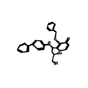 O=c1ccoc(C(CC(O)CO)Nc2ccc(-c3ccccc3)cc2)c1OCc1ccccc1